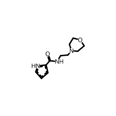 O=C(NCCN1CCOCC1)c1ccc[nH]1